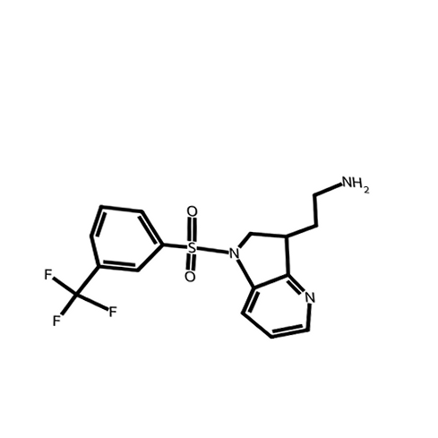 NCCC1CN(S(=O)(=O)c2cccc(C(F)(F)F)c2)c2cccnc21